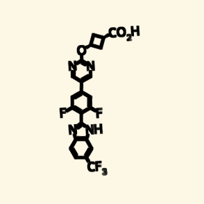 O=C(O)[C@H]1C[C@@H](Oc2ncc(-c3cc(F)c(-c4nc5ccc(C(F)(F)F)cc5[nH]4)c(F)c3)cn2)C1